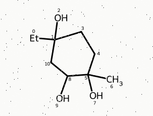 CCC1(O)CCC(C)(O)C(O)C1